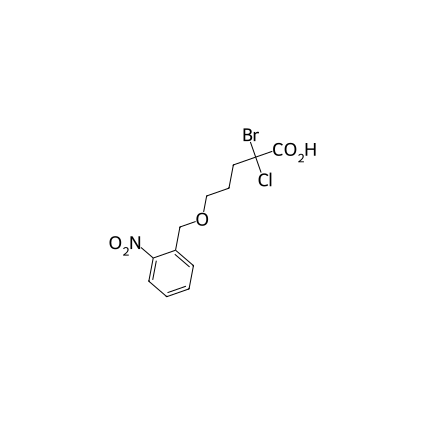 O=C(O)C(Cl)(Br)CCCOCc1ccccc1[N+](=O)[O-]